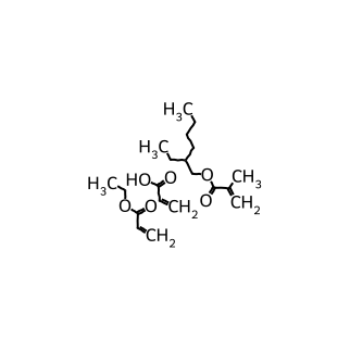 C=C(C)C(=O)OCC(CC)CCCC.C=CC(=O)O.C=CC(=O)OCC